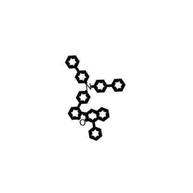 c1ccc(-c2ccc(N(c3ccc(-c4ccccc4)cc3)c3ccc(-c4cccc5oc6c(-c7ccccc7)c7ccccc7cc6c45)cc3)cc2)cc1